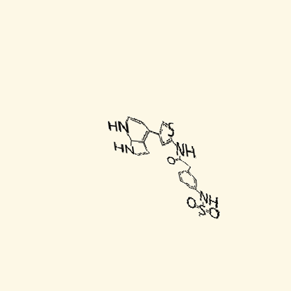 CS(=O)(=O)Nc1cccc(CC(=O)Nc2cc(C3=C4C=CNC4NC=C3)cs2)c1